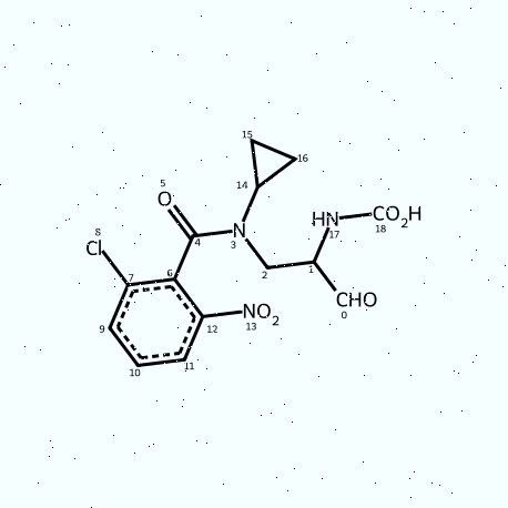 O=CC(CN(C(=O)c1c(Cl)cccc1[N+](=O)[O-])C1CC1)NC(=O)O